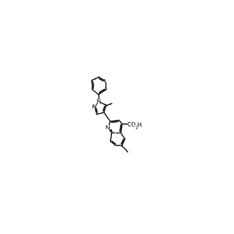 Cc1ccc2nc(-c3cnn(-c4ccccc4)c3C)cc(C(=O)O)c2c1